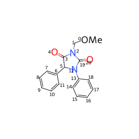 COCN1C(=O)C(c2ccccc2)N(c2ccccc2)C1=O